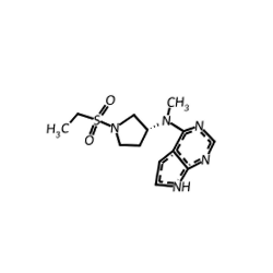 CCS(=O)(=O)N1CC[C@@H](N(C)c2ncnc3[nH]ccc23)C1